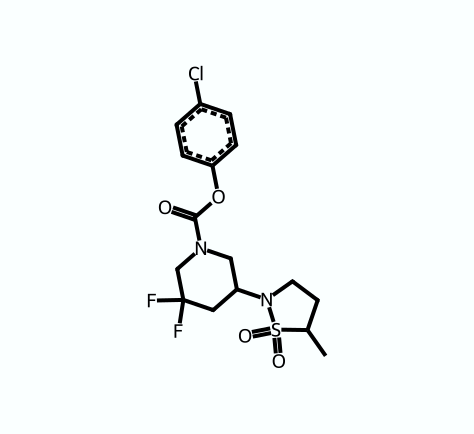 CC1CCN(C2CN(C(=O)Oc3ccc(Cl)cc3)CC(F)(F)C2)S1(=O)=O